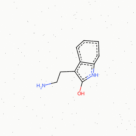 NCCc1c(O)[nH]c2ccccc12